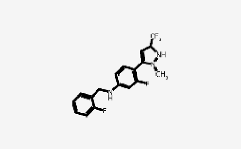 CN1NC(C(F)(F)F)C=C1c1ccc(NCc2ccccc2F)cc1F